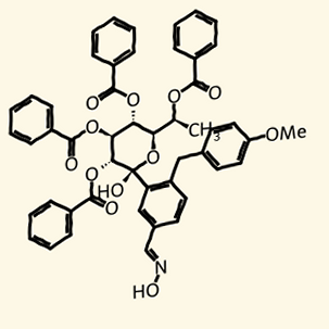 COc1ccc(Cc2ccc(C=NO)cc2[C@@]2(O)O[C@H]([C@H](C)OC(=O)c3ccccc3)[C@@H](OC(=O)c3ccccc3)[C@H](OC(=O)c3ccccc3)[C@H]2OC(=O)c2ccccc2)cc1